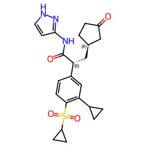 O=C1CC[C@H](C[C@@H](C(=O)Nc2cc[nH]n2)c2ccc(S(=O)(=O)C3CC3)c(C3CC3)c2)C1